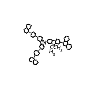 CC1(C)c2cc(-c3cc4ccccc4c4ccccc34)ccc2-c2ccc(-n3c4ccc(-c5ccc(-c6cccc7ccccc67)cc5)cc4c4cc(-c5ccc(-c6cccc7ccccc67)cc5)ccc43)cc21